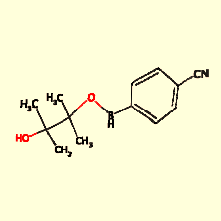 CC(C)(O)C(C)(C)OBc1ccc(C#N)cc1